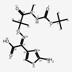 CN(NC(=O)OC(C)(C)C)C(=O)C(C)(C)O/N=C(\C(=O)O)c1csc(N)n1